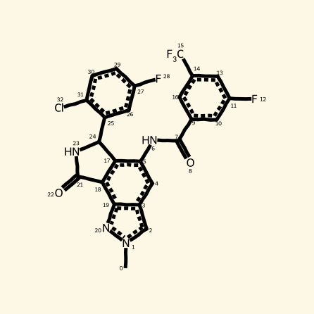 Cn1cc2cc(NC(=O)c3cc(F)cc(C(F)(F)F)c3)c3c(c2n1)C(=O)NC3c1cc(F)ccc1Cl